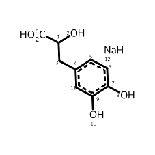 O=C(O)C(O)Cc1ccc(O)c(O)c1.[NaH]